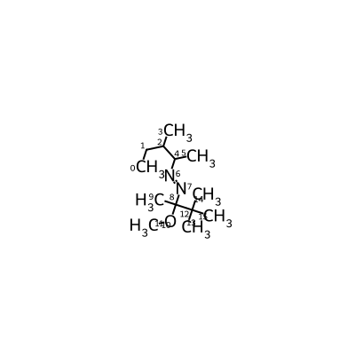 CCC(C)C(C)N=NC(C)(OC)C(C)(C)C